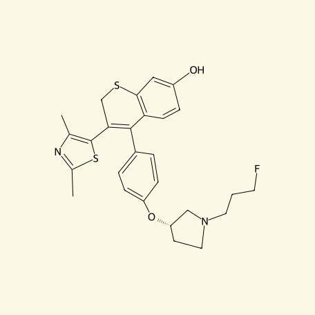 Cc1nc(C)c(C2=C(c3ccc(O[C@H]4CCN(CCCF)C4)cc3)c3ccc(O)cc3SC2)s1